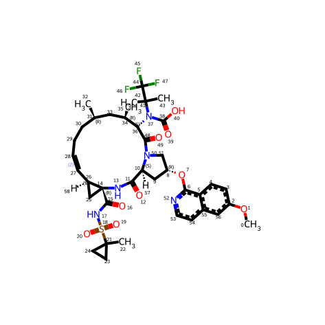 COc1ccc2c(O[C@@H]3C[C@H]4C(=O)N[C@]5(C(=O)NS(=O)(=O)C6(C)CC6)C[C@H]5/C=C\CC[C@@H](C)C[C@@H](C)[C@H](N(C(=O)O)C(C)(C)C(F)(F)F)C(=O)N4C3)nccc2c1